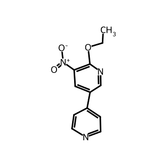 CCOc1ncc(-c2ccncc2)cc1[N+](=O)[O-]